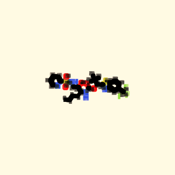 CCCC[C@H](NC(=O)O[C@H](c1nc2cc(C(F)(F)F)ccc2s1)C(C)(C)C)C(=O)CNS(=O)(=O)c1ccccn1